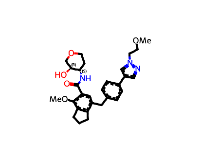 COCCn1cc(-c2ccc(Cc3cc(C(=O)N[C@H]4CCOC[C@@H]4O)c(OC)c4c3CCC4)cc2)cn1